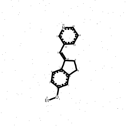 CCOc1ccc2c(c1)CCC2=Cc1cccnc1